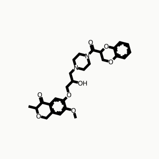 COc1cc2c(cc1OCC(O)CN1CCN(C(=O)C3COc4ccccc4O3)CC1)C(=O)C(C)OC2